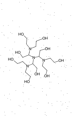 OCCN(CCO)C(CO)N(C(CO)N(CCO)CCO)C(CO)N(CCO)CCO